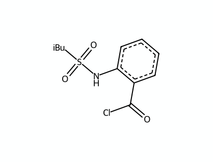 CCC(C)S(=O)(=O)Nc1ccccc1C(=O)Cl